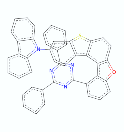 c1ccc(-c2nc(-c3ccccc3)nc(-c3cccc4oc5ccc6sc7cc(-n8c9ccccc9c9ccccc98)ccc7c6c5c34)n2)cc1